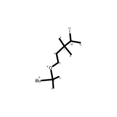 CCC(C)C(C)(C)OCCC(C)(C)C(C)I